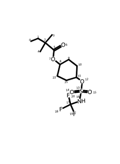 CCC(C)(C)C(=O)OC1CCC(OS(=O)(=O)NC(F)(F)F)CC1